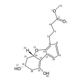 COC(=O)CCCc1cccc2c1O[C@H]1C[C@@H](O)CC(O)=C21